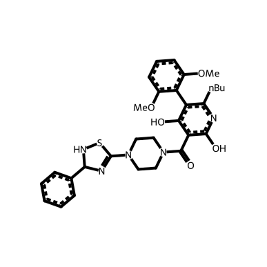 CCCCc1nc(O)c(C(=O)N2CCN(C3=NC(c4ccccc4)NS3)CC2)c(O)c1-c1c(OC)cccc1OC